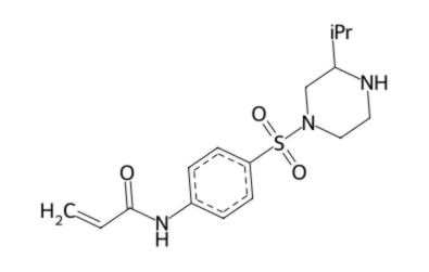 C=CC(=O)Nc1ccc(S(=O)(=O)N2CCNC(C(C)C)C2)cc1